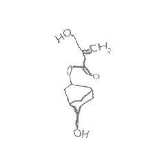 C=C(CO)C(=O)OC1CC2CC1CC2O